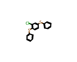 Clc1cc(Sc2ccccc2)ccc1Sc1ccccc1